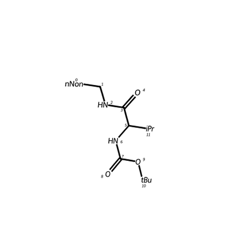 CCCCCCCCCCNC(=O)C(NC(=O)OC(C)(C)C)C(C)C